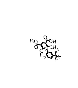 CC1=C(C(=O)O)CC(C(=O)O)=C(C)N1c1cccc(C(F)(F)F)c1